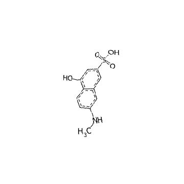 CNc1ccc2c(O)cc(S(=O)(=O)O)cc2c1